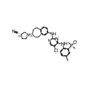 Cc1ccc(Nc2nc(Nc3ccc4c(c3)CC[C@@H](N3CC[C@H](C#N)C3)CC4)ncc2Cl)c(P(C)(C)=O)c1